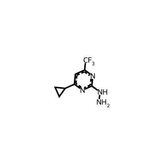 NNc1nc(C2CC2)cc(C(F)(F)F)n1